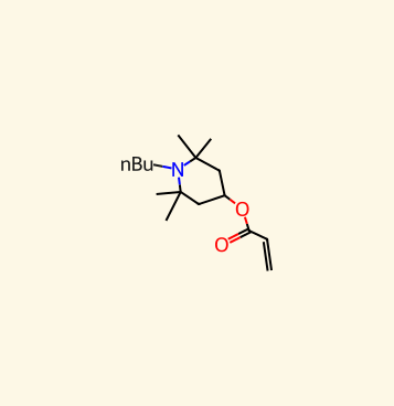 C=CC(=O)OC1CC(C)(C)N(CCCC)C(C)(C)C1